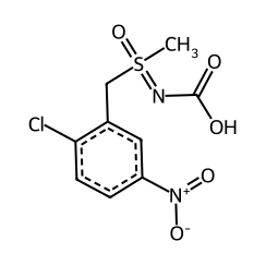 CS(=O)(Cc1cc([N+](=O)[O-])ccc1Cl)=NC(=O)O